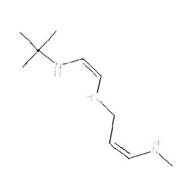 CN/C=C\CN/C=C\NC(C)(C)C